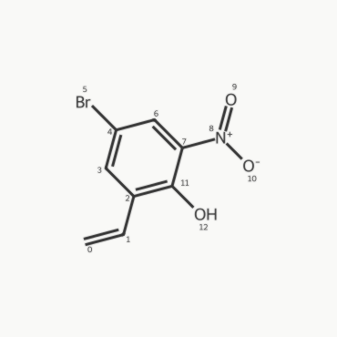 C=Cc1cc(Br)cc([N+](=O)[O-])c1O